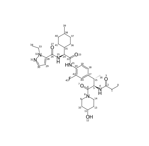 CCC(=O)N[C@@H](C(=O)N1CCC(O)CC1)[C@@H](C)c1ccc(NC(=O)[C@@H](NC(=O)c2ccnn2CC)C2CCC(C)CC2)c(F)c1